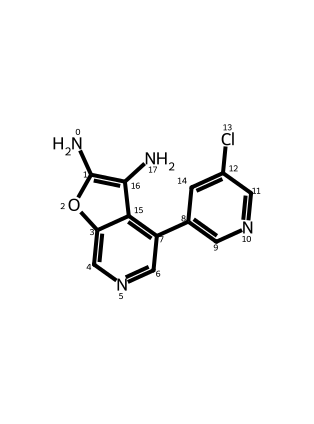 Nc1oc2cncc(-c3cncc(Cl)c3)c2c1N